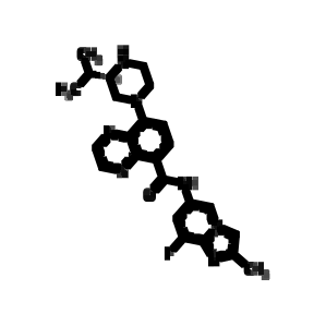 Cc1cn2cc(NC(=O)c3ccc(N4CCN[C@@H](C(C)C)C4)c4nccnc34)cc(F)c2n1